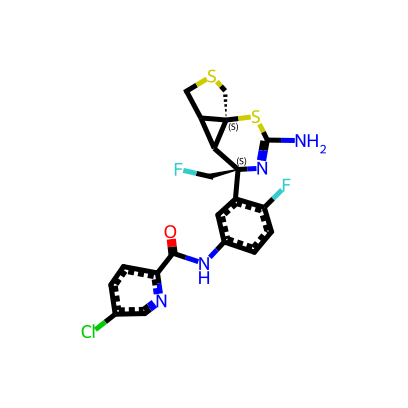 NC1=N[C@](CF)(c2cc(NC(=O)c3ccc(Cl)cn3)ccc2F)C2C3CSC[C@@]32S1